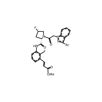 COC(=O)/C=C/c1cccc(NC(=O)[C@@H]2C[C@@H](F)CN2C(=O)Cn2nc(C(C)=O)c3ccccc32)c1F